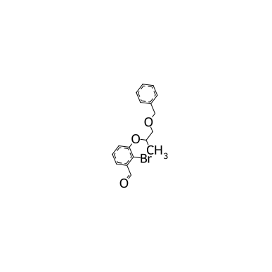 CC(COCc1ccccc1)Oc1cccc(C=O)c1Br